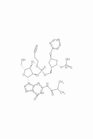 CC(C)C(=O)Nc1nc2c(ncn2[C@@H]2O[C@H](CO)[C@@H](C)[C@H]2OP(=S)(OCCC#N)OC[C@H]2C[C@@H](Oc3ccncn3)C[C@@H]2O[PH](=O)O)c(=O)[nH]1